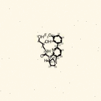 O=C(NC[C@@H](O)CO)N1c2nc(-c3cccc(C(F)(F)F)c3)ccc2N2CC[C@H]1C2